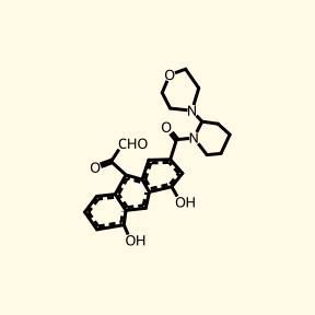 O=CC(=O)c1c2cccc(O)c2cc2c(O)cc(C(=O)N3CCCCC3N3CCOCC3)cc12